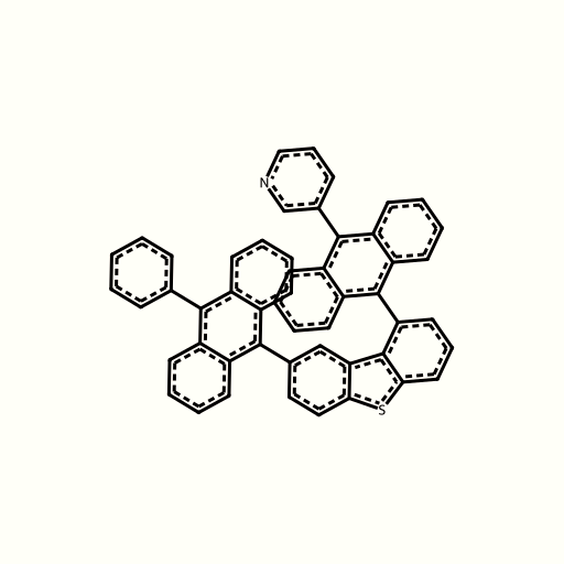 c1ccc(-c2c3ccccc3c(-c3ccc4sc5cccc(-c6c7ccccc7c(-c7cccnc7)c7ccccc67)c5c4c3)c3ccccc23)cc1